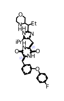 CCC(c1nc(/C=c2\[nH]c(=O)/c(=C/c3cccc(Oc4ccc(F)cc4)c3)[nH]c2=O)c(C(C)C)[nH]1)C1COCCN1